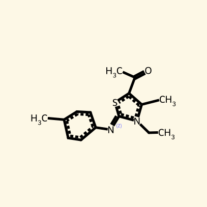 CCn1c(C)c(C(C)=O)s/c1=N\c1ccc(C)cc1